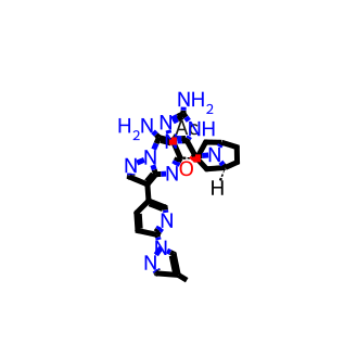 CC(=O)c1c([C@@H]2CC3CC[C@@H](C2)N3C(=O)c2nnc(N)[nH]2)nc2c(-c3ccc(-n4cc(C)cn4)nc3)cnn2c1N